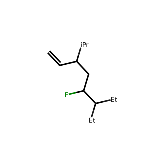 C=CC(CC(F)C(CC)CC)C(C)C